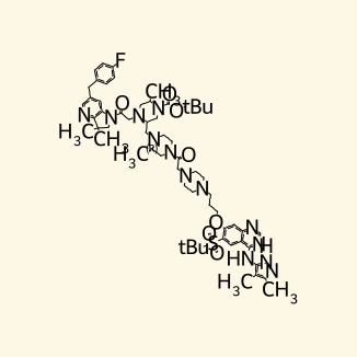 Cc1n[nH]c(Nc2ncnc3cc(OCCCN4CCN(CC(=O)N5CCN(CC6CN(C(=O)OC(C)(C)C)C(C)CN6CC(=O)N6CC(C)(C)c7ncc(Cc8ccc(F)cc8)cc76)[C@H](C)C5)CC4)c(S(=O)(=O)C(C)(C)C)cc23)c1C